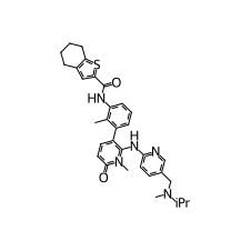 Cc1c(NC(=O)c2cc3c(s2)CCCC3)cccc1-c1ccc(=O)n(C)c1Nc1ccc(CN(C)C(C)C)cn1